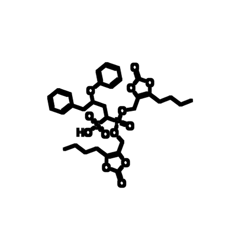 CCCCc1oc(=O)oc1COP(=O)(OCc1oc(=O)oc1CCCC)C(CC(Cc1ccccc1)Oc1ccccc1)S(=O)(=O)O